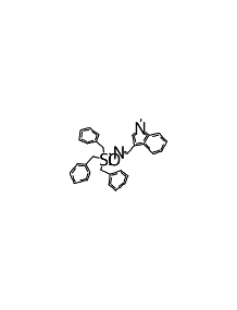 Cn1cc(C=NO[Si](Cc2ccccc2)(Cc2ccccc2)Cc2ccccc2)c2ccccc21